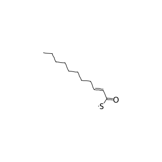 CCCCCCCCC=CC(=O)[S]